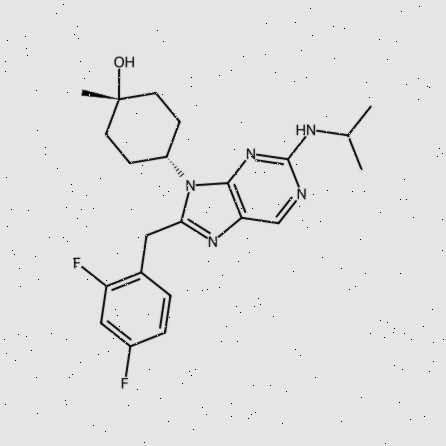 CC(C)Nc1ncc2nc(Cc3ccc(F)cc3F)n([C@H]3CC[C@@](C)(O)CC3)c2n1